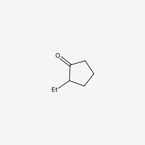 C[CH]C1CCCC1=O